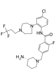 N[C@H]1CCCN(Cc2ccc(C(=O)Nc3ccc(Cl)cc3N3CCN(CCC(F)(F)F)CC3)c(F)c2)C1